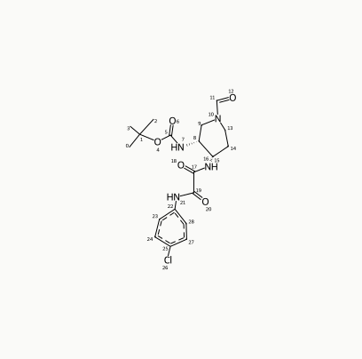 CC(C)(C)OC(=O)N[C@@H]1CN(C=O)CC[C@@H]1NC(=O)C(=O)Nc1ccc(Cl)cc1